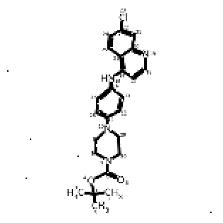 CC(C)(C)OC(=O)N1CCN(c2ccc(Nc3ccnc4cc(Cl)ccc34)cc2)CC1